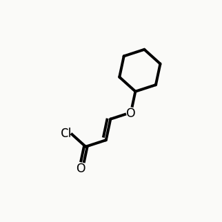 O=C(Cl)C=COC1CCCCC1